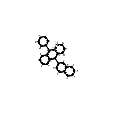 c1ccc(-c2c3ccccc3c(-c3ccc4ccccc4c3)c3cccnc23)cc1